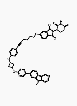 Cn1c2ccncc2c2ccc(-c3ccc(O[C@H]4C[C@H](Oc5ccc(C#CCCCCOc6ccc7c(c6)C(=O)N(C6CCC(=O)NC6=O)C7=O)cc5)C4)nc3)cc21